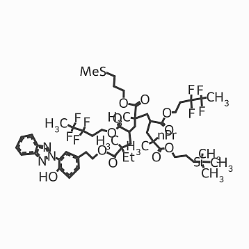 CCCC(C)(CC(CC(C)(CC(CC(C)(CC)C(=O)OCCc1ccc(O)c(-n2nc3ccccc3n2)c1)C(=O)OCCC(F)(F)C(C)(F)F)C(=O)OCCCSC)C(=O)OCCC(F)(F)C(C)(F)F)C(=O)OCCC[Si](C)(C)C